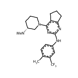 CN[C@@H]1CCCN(c2nc(Nc3ccc(C)c(C(F)(F)F)c3)nc3c2CCC3)C1